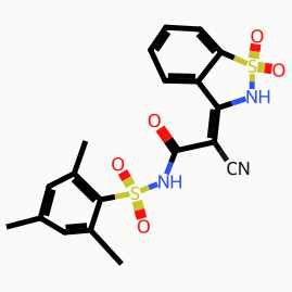 Cc1cc(C)c(S(=O)(=O)NC(=O)C(C#N)=C2NS(=O)(=O)c3ccccc32)c(C)c1